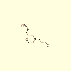 CCCOCC1CN(CCCCl)CCO1